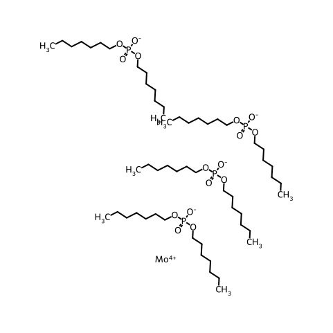 CCCCCCCOP(=O)([O-])OCCCCCCC.CCCCCCCOP(=O)([O-])OCCCCCCC.CCCCCCCOP(=O)([O-])OCCCCCCC.CCCCCCCOP(=O)([O-])OCCCCCCC.[Mo+4]